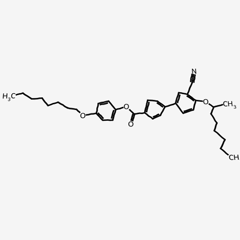 CCCCCCCCOc1ccc(OC(=O)c2ccc(-c3ccc(OC(C)CCCCCC)c(C#N)c3)cc2)cc1